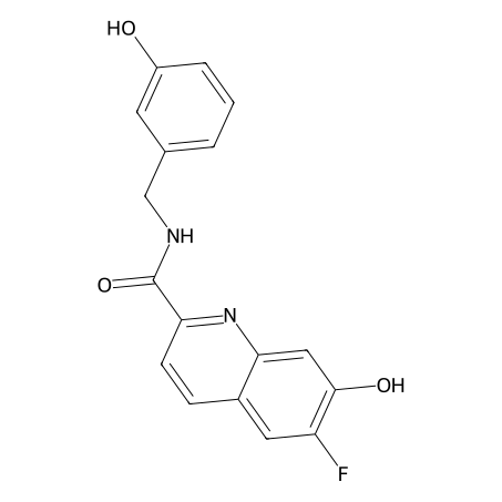 O=C(NCc1cccc(O)c1)c1ccc2cc(F)c(O)cc2n1